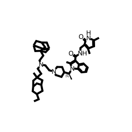 CCC1CC2CC(C1)CC(C)(CCN(CCN1CCC([C@H](C)n3c(C)c(C(=O)NCc4c(C)cc(C)[nH]c4=O)c4ccccc43)CC1)CCC13CC4CC(CC(C4)C1)C3)C2